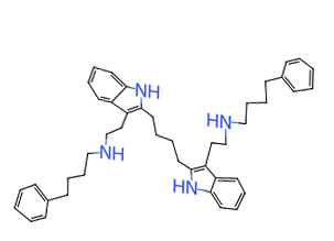 c1ccc(CCCCNCCc2c(CCCCc3[nH]c4ccccc4c3CCNCCCCc3ccccc3)[nH]c3ccccc23)cc1